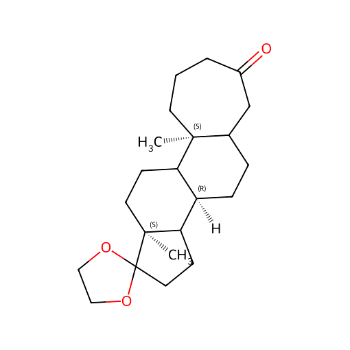 C[C@]12CCCC(=O)CC1CC[C@@H]1C2CC[C@@]2(C)C1CCC21OCCO1